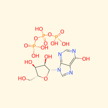 O=P(O)(O)OP(=O)(O)OP(=O)(O)O.OC[C@H]1O[C@@H](n2cnc3c(O)ncnc32)[C@H](O)[C@@H]1O